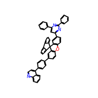 c1ccc(-c2cc(-c3ccc4c(c3)C3(c5cc(-c6ccc(-c7ccnc8ccccc78)cc6)ccc5O4)c4ccccc4-c4ccccc43)nc(-c3ccccc3)n2)cc1